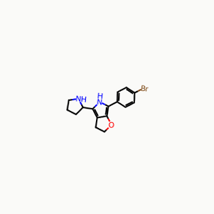 Brc1ccc(-c2[nH]c(C3CCCN3)c3c2OCC3)cc1